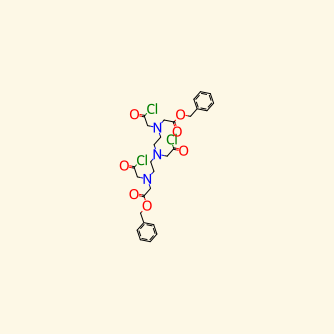 O=C(Cl)CN(CCN(CC(=O)Cl)CC(=O)OCc1ccccc1)CCN(CC(=O)Cl)CC(=O)OCc1ccccc1